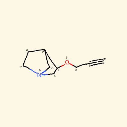 C#CCOC1CN2CCC1C2